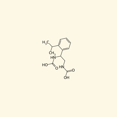 CC(C)c1ccccc1C(CNC(=O)O)NC(=O)O